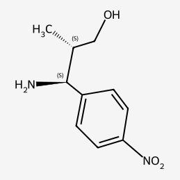 C[C@H](CO)[C@H](N)c1ccc([N+](=O)[O-])cc1